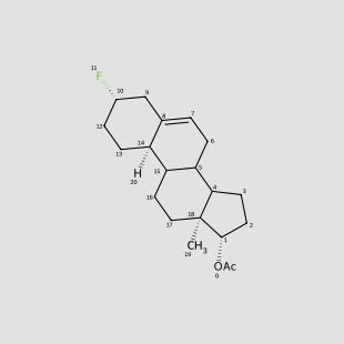 CC(=O)O[C@H]1CCC2C3CC=C4C[C@@H](F)CC[C@@H]4C3CC[C@@]21C